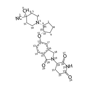 CC1(C#N)CCN([C@@H]2CCC[C@@H]2Oc2ccc3c(c2)CN(C2CCC(=O)NC2=O)C3=O)CC1